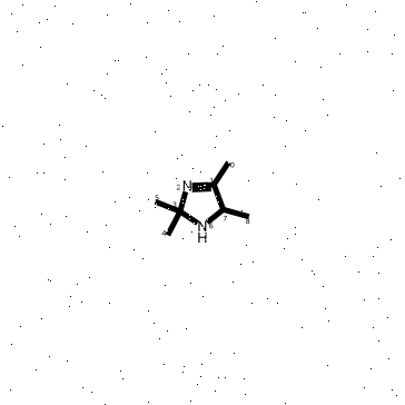 CC1=NC(C)(C)NC1C